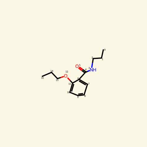 CCCNC(=O)c1ccccc1OCCC